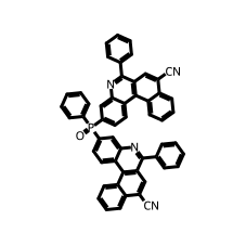 N#Cc1cc2c(-c3ccccc3)nc3cc(P(=O)(c4ccccc4)c4ccc5c(c4)nc(-c4ccccc4)c4cc(C#N)c6ccccc6c45)ccc3c2c2ccccc12